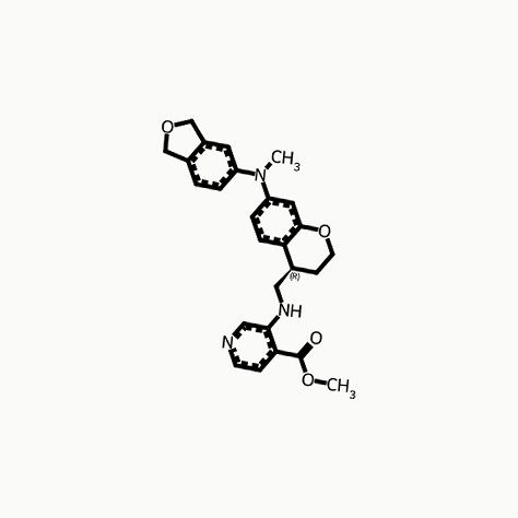 COC(=O)c1ccncc1NC[C@@H]1CCOc2cc(N(C)c3ccc4c(c3)COC4)ccc21